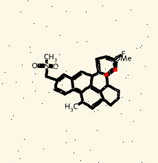 COCCC1CCCC2=CC(C)C3=c4ccc(CS(C)(=O)=O)cc4=CC(c4ccc(F)cc4)C3=C21